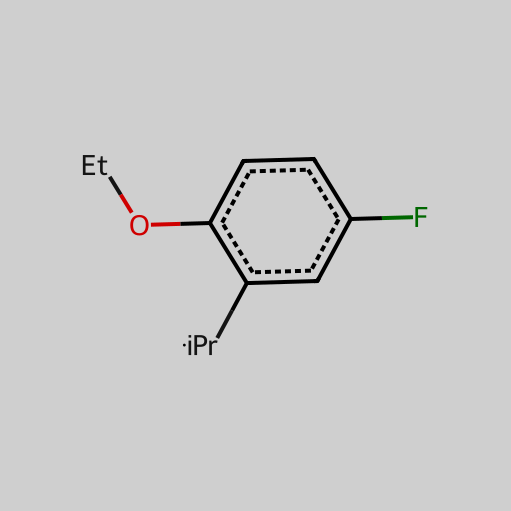 CCOc1ccc(F)cc1[C](C)C